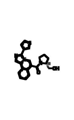 O=C(c1cn2c(-c3ccsc3)ncc2c2ccccc12)N1CCC[C@@H]1CO